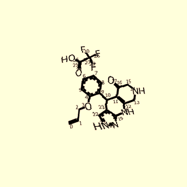 C=CCOc1ccccc1C1C2=C(CNCC2=O)Nc2n[nH]cc21.O=C(O)C(F)(F)F